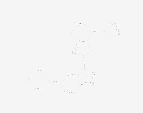 c1csc(-c2cncc3[nH]c(-c4n[nH]c5ccc(C6CCNCC6)cc45)cc23)c1